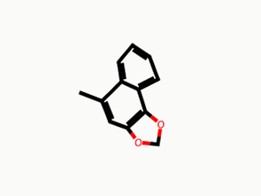 Cc1cc2c(c3ccccc13)OCO2